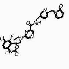 O=C1Nc2ccc(Cl)c(F)c2[C@]2(CCN(c3cncc(C(=O)NCc4ccc(Cn5ccccc5=O)nc4)n3)C2)O1